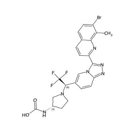 Cc1c(Br)ccc2ccc(-c3nnc4ccc([C@@H](N5CC[C@H](NC(=O)O)C5)C(F)(F)F)cn34)nc12